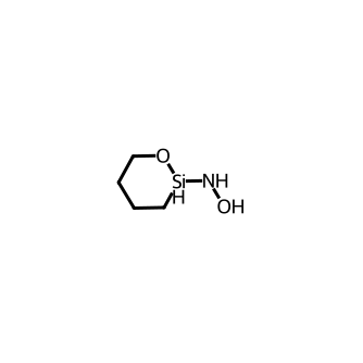 ON[SiH]1CCCCO1